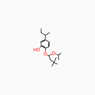 CCC(C)c1ccc(OC(CC(C)(C)C)OC(C)C)c(O)c1